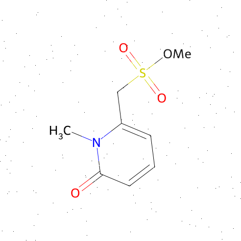 COS(=O)(=O)Cc1cccc(=O)n1C